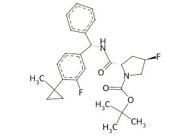 CC(C)(C)OC(=O)N1C[C@H](F)C[C@H]1C(=O)N[C@@H](c1ccccc1)c1ccc(C2(C)CC2)c(F)c1